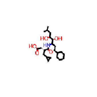 CC(C)C[C@H](O)[C@H](O)C(CCC1CCCCC1)NC(=O)[C@@H](CC(=O)O)CC1CC1